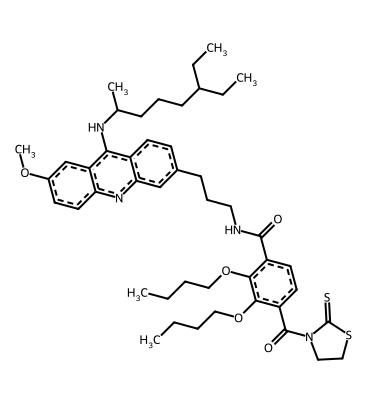 CCCCOc1c(C(=O)NCCCc2ccc3c(NC(C)CCCC(CC)CC)c4cc(OC)ccc4nc3c2)ccc(C(=O)N2CCSC2=S)c1OCCCC